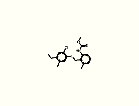 CCc1cc(Cl)c(OCc2c(C)cccc2NC(=S)OC)cc1C